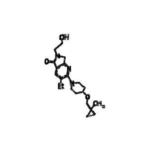 CCc1cc2c(nc1N1CCC(OCC3(C)CC3)CC1)CN(CCO)C2=O